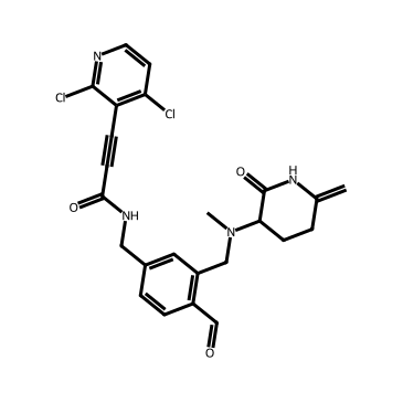 C=C1CCC(N(C)Cc2cc(CNC(=O)C#Cc3c(Cl)ccnc3Cl)ccc2C=O)C(=O)N1